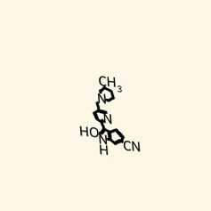 CC1CCCN(Cc2ccc(-c3c(O)[nH]c4cc(C#N)ccc34)nc2)C1